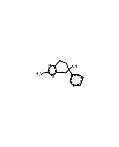 N#CC1(c2ccccc2)CCc2nc(N)sc2C1